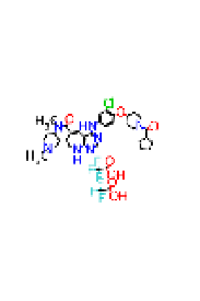 CN1CCC(N(C)C(=O)C2=Cc3c(ncnc3Nc3ccc(OC4CCN(C(=O)C5CCCC5)CC4)c(Cl)c3)NCC2)CC1.O=C(O)C(F)(F)F.O=C(O)C(F)(F)F